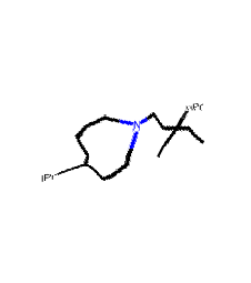 CCCC(C)(C)CN1CCC(C(C)C)CC1